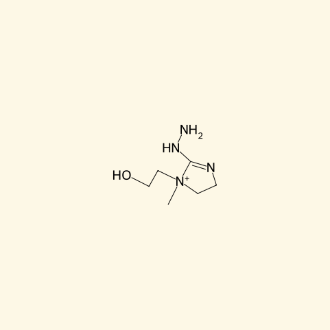 C[N+]1(CCO)CCN=C1NN